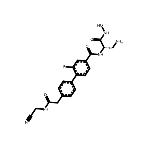 N#CCNC(=O)Cc1ccc(-c2ccc(C(=O)N[C@@H](CN)C(=O)NO)cc2F)cc1